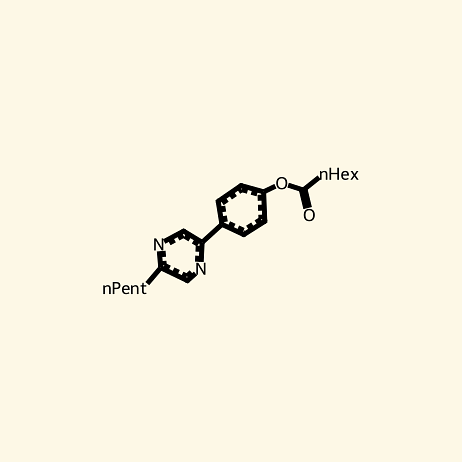 CCCCCCC(=O)Oc1ccc(-c2cnc(CCCCC)cn2)cc1